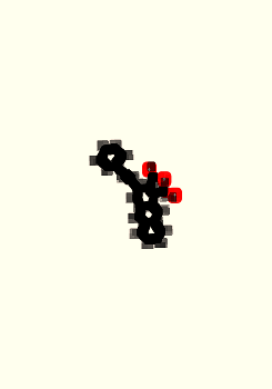 O=C1OC(=O)c2c1c(C#Cc1ccccc1)cc1cc3ccccc3cc21